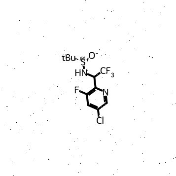 CC(C)(C)[S@+]([O-])NC(c1ncc(Cl)cc1F)C(F)(F)F